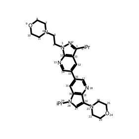 CC(C)c1nn(CCN2CCOCC2)c2ncc(-c3cnc4c(N5CCOCC5)cn(C(C)C)c4c3)cc12